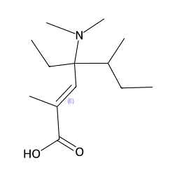 CCC(C)C(/C=C(\C)C(=O)O)(CC)N(C)C